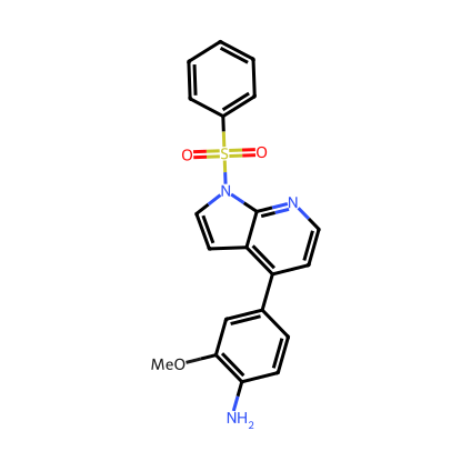 COc1cc(-c2ccnc3c2ccn3S(=O)(=O)c2ccccc2)ccc1N